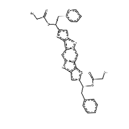 CC(=O)CC(=O)OC(Cc1ccccc1)c1cc2sc3cc4c(cc3c2s1)sc1cc(C(Cc2ccccc2)OC(=O)CC(C)=O)sc14